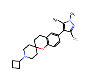 Cc1nn(C)c(C)c1-c1ccc2c(c1)CCC1(CCN(C3CCC3)CC1)O2